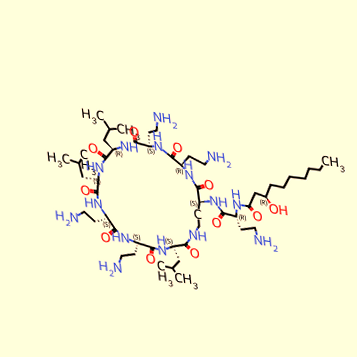 CCCCCCC[C@@H](O)CC(=O)N[C@H](CCN)C(=O)N[C@H]1CCNC(=O)[C@H](CC(C)C)NC(=O)[C@H](CCN)NC(=O)[C@H](CCN)NC(=O)[C@H](CC(C)C)NC(=O)[C@@H](CC(C)C)NC(=O)[C@H](CCN)NC(=O)[C@@H](CCN)NC1=O